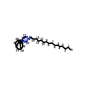 CCCCCCCCCCCCCCCCN1C=CN(C23CC4CC(CC(C4)C2)C3)C1